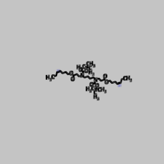 CC/C=C\CCCOC(=O)CCN(CCCCN(CCC(=O)OCCC/C=C\CC)C(=O)OC(C)(C)C)C(=O)OC(C)(C)C